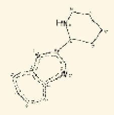 c1ccc2sc(C3CCCCN3)nc2c1